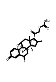 CCCCC(=O)OCC(=O)[C@H]1C(C)C[C@H]2[C@@H]3CC(F)C4=CC(=O)C=C[C@]4(C)[C@]34OC4C[C@]12C